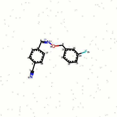 N#Cc1ccc(/[C]=N\OCc2cccc(F)c2)cc1